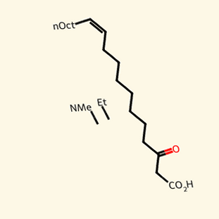 CCC.CCCCCCCC/C=C\CCCCCCCC(=O)CC(=O)O.CNC